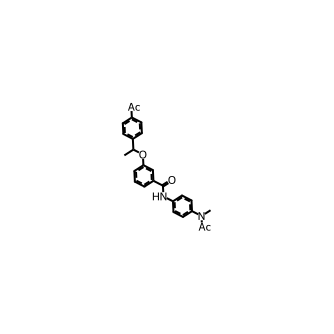 CC(=O)c1ccc(C(C)Oc2cccc(C(=O)Nc3ccc(N(C)C(C)=O)cc3)c2)cc1